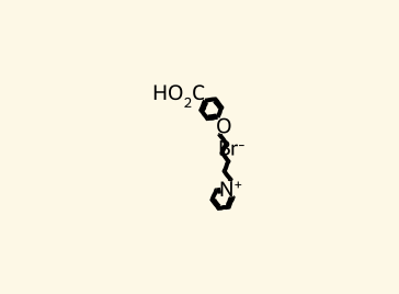 O=C(O)c1ccc(OCCCCCC[n+]2ccccc2)cc1.[Br-]